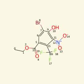 CCOC(=O)c1cc(Br)c(O)c([N+](=O)[O-])c1C(F)(F)F